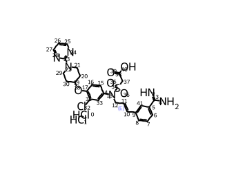 Cl.Cl.N=C(N)c1cccc(/C=C/CN(c2ccc(OC3CCN(c4ncccn4)CC3)c(Cl)c2)S(=O)(=O)CC(=O)O)c1